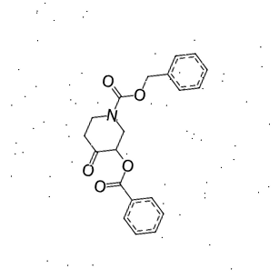 O=C(OC1CN(C(=O)OCc2ccccc2)CCC1=O)c1ccccc1